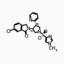 Cn1cnc(S(=O)(=O)N2C[C@@H](N3Cc4ccc(Cl)cc4C3=O)[C@H](c3ccccn3)C2)c1